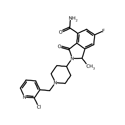 CC1c2cc(F)cc(C(N)=O)c2C(=O)N1C1CCN(Cc2cccnc2Cl)CC1